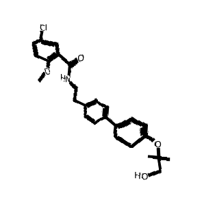 COc1ccc(Cl)cc1C(=O)NCCc1ccc(-c2ccc(OC(C)(C)CO)cc2)cc1